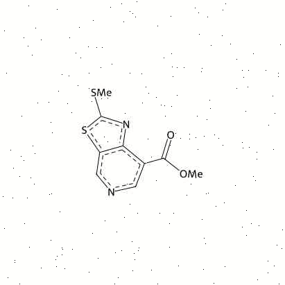 COC(=O)c1cncc2sc(SC)nc12